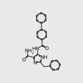 NC(=O)c1nc(Cc2ccccc2)[nH]c1NC(=O)c1ccc(-c2ccccc2)cc1